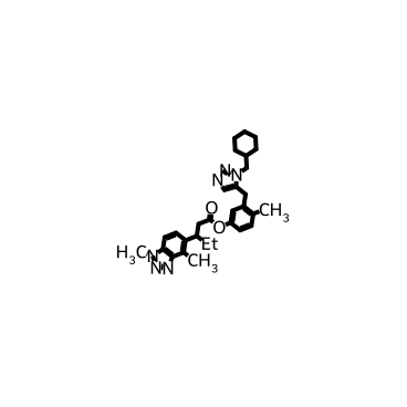 CCC(CC(=O)Oc1ccc(C)c(Cc2cnnn2CC2CCCCC2)c1)c1ccc2c(nnn2C)c1C